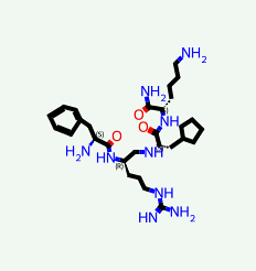 N=C(N)NCCC[C@H](CN[C@@H](CC1CCCC1)C(=O)N[C@@H](CCCCN)C(N)=O)NC(=O)[C@@H](N)Cc1ccccc1